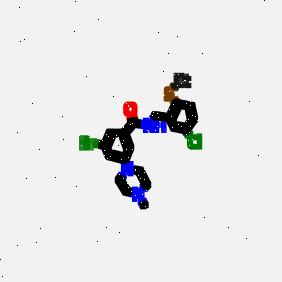 CCSc1ccc(Cl)cc1CNC(=O)c1cc(Br)cc(N2CCN(C)CC2)c1